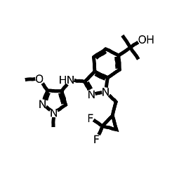 COc1nn(C)cc1Nc1nn(CC2CC2(F)F)c2cc(C(C)(C)O)ccc12